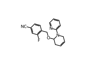 N#Cc1ccc(COC2CC=CCN2c2ccccn2)c(F)c1